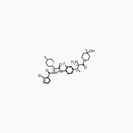 CCn1nccc1C(=O)N[C@H](C(=O)Nc1ccc([C@H](C)[C@@H](N)C(=O)N2CCC(C)(O)CC2)cc1F)[C@H]1CC[C@H](C)CC1